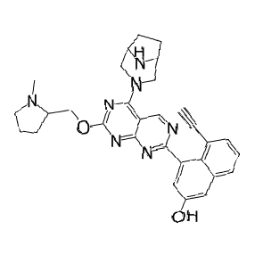 C#Cc1cccc2cc(O)cc(-c3ncc4c(N5CC6CCC(C5)N6)nc(OCC5CCCN5C)nc4n3)c12